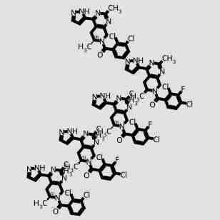 Cc1nc2c(c(-c3ccn[nH]3)n1)CC(C)N(C(=O)c1ccc(Cl)c(F)c1Cl)C2.Cc1nc2c(c(-c3ccn[nH]3)n1)C[C@@H](C)N(C(=O)c1ccc(Cl)c(F)c1Cl)C2.Cc1nc2c(c(-c3ccn[nH]3)n1)C[C@@H](C)N(C(=O)c1cccc(Cl)c1Cl)C2.Cc1nc2c(c(-c3ccn[nH]3)n1)C[C@H](C)N(C(=O)c1ccc(Cl)c(F)c1Cl)C2.Cc1nc2c(c(-c3ccn[nH]3)n1)C[C@H](C)N(C(=O)c1cccc(Cl)c1Cl)C2